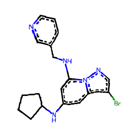 Brc1cnn2c(NCc3cccnc3)cc(NC3CCCC3)cc12